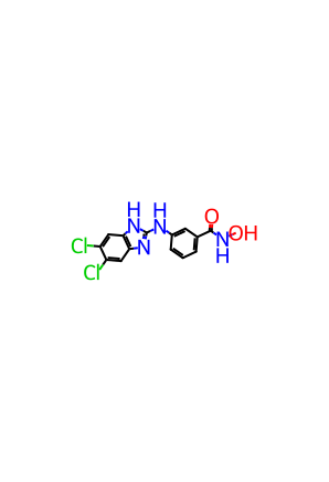 O=C(NO)c1cccc(Nc2nc3cc(Cl)c(Cl)cc3[nH]2)c1